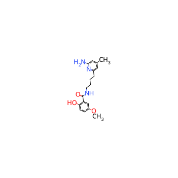 COc1ccc(O)c(C(=O)NCCCCc2cc(C)cc(N)n2)c1